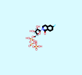 O=c1c2ccc(F)cc2ccn1[C@@H]1O[C@H](COP(=O)(O)OP(=O)(O)OP(=O)(O)O)[C@@H](O)[C@H]1O